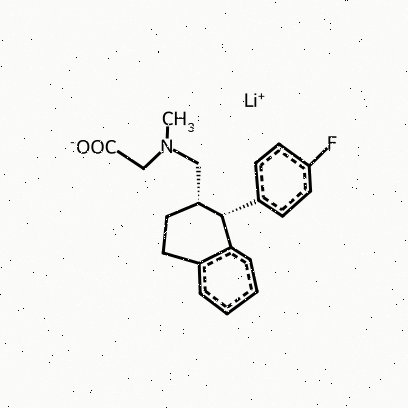 CN(CC(=O)[O-])C[C@H]1CCc2ccccc2[C@H]1c1ccc(F)cc1.[Li+]